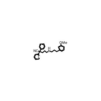 COc1cccc(CCCNCCCC(C#N)(c2ccccc2)c2ccccc2)c1